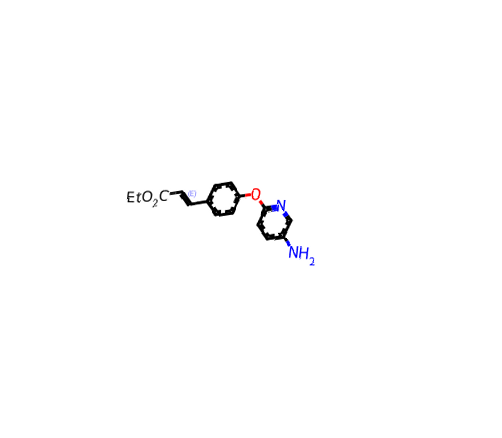 CCOC(=O)/C=C/c1ccc(Oc2ccc(N)cn2)cc1